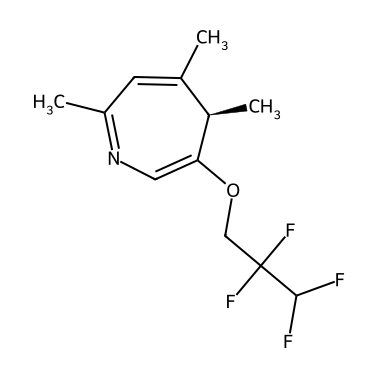 CC1=CC(C)=NC=C(OCC(F)(F)C(F)F)[C@@H]1C